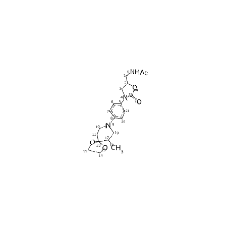 CC(=O)NCC1CN(c2ccc(N3CCC4(OCCO4)C(C)C3)cc2)C(=O)O1